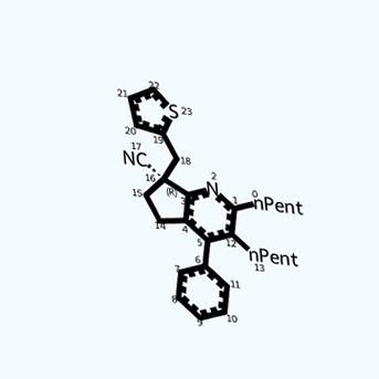 CCCCCc1nc2c(c(-c3ccccc3)c1CCCCC)CC[C@@]2(C#N)Cc1cccs1